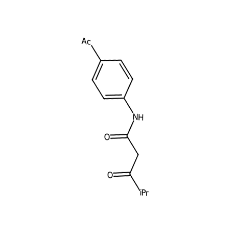 CC(=O)c1ccc(NC(=O)CC(=O)C(C)C)cc1